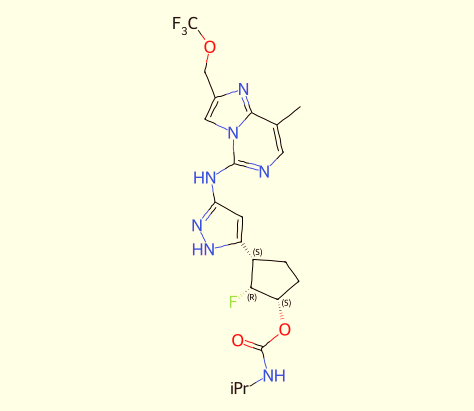 Cc1cnc(Nc2cc([C@@H]3CC[C@H](OC(=O)NC(C)C)[C@@H]3F)[nH]n2)n2cc(COC(F)(F)F)nc12